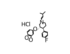 CC(C)C=CN1CC[C@@H](c2ccc(F)cc2)[C@H](COc2ccc3c(c2)OCO3)C1.Cl